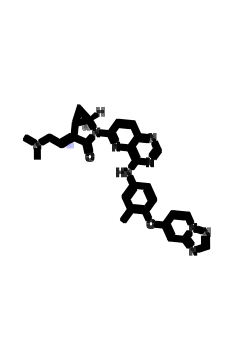 Cc1cc(Nc2ncnc3ccc(N4C(=O)/C(=C/CN(C)C)C5C[C@@H]54)nc23)ccc1Oc1ccn2ncnc2c1